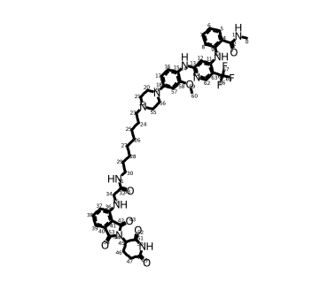 CNC(=O)c1ccccc1Nc1cc(Nc2ccc(N3CCN(CCCCCCCCNC(=O)CNc4cccc5c4C(=O)N(C4CCC(=O)NC4=O)C5=O)CC3)cc2OC)ncc1C(F)(F)F